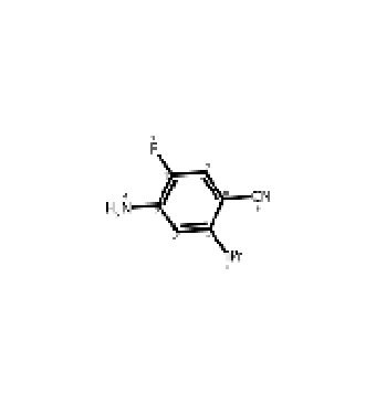 CC(C)c1cc(N)c(F)cc1C#N